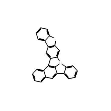 c1ccc2c(c1)cc1c3ccccc3n3c4cc5oc6ccccc6c5cc4c2c13